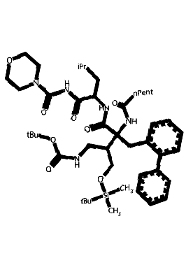 CCCCCC(=O)NC(Cc1ccccc1-c1ccccc1)(C(=O)NC(CC(C)C)C(=O)NC(=O)N1CCOCC1)C(CNC(=O)OC(C)(C)C)CO[Si](C)(C)C(C)(C)C